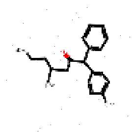 CCCCCCCCCCCCC(CC(=O)C(c1ccccc1)c1ccc(OC(C)=O)cc1)OC(C)=O